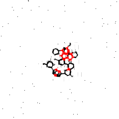 CC(C)(C)c1ccc2c(c1)c1ccccc1n2-c1c(C#N)c(-n2c3ccccc3c3cc(C(C)(C)C)ccc32)c(-n2c3ccccc3c3cc(C(C)(C)C)ccc32)c(-c2ccccc2-n2c3cccnc3c3ncccc32)c1N1c2ccccc2C=CC1(C)C